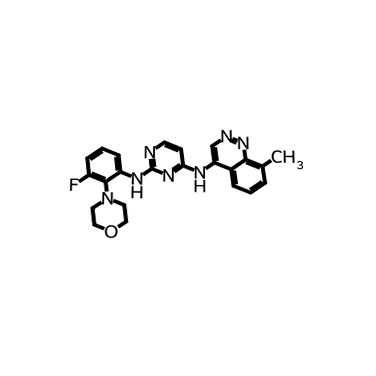 Cc1cccc2c(Nc3ccnc(Nc4cccc(F)c4N4CCOCC4)n3)cnnc12